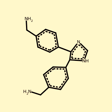 NCc1ccc(-c2nc[nH]c2-c2ccc(CN)cc2)cc1